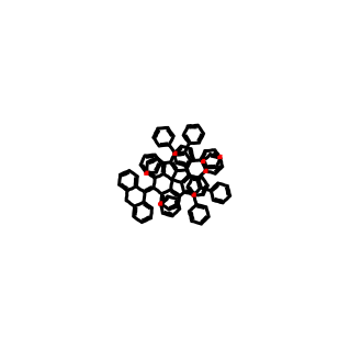 c1ccc(-c2c(-c3ccccc3)c(-c3ccccc3)c(C3(c4c(-c5ccccc5)c(-c5ccccc5)c(-c5ccccc5)c(-c5ccccc5)c4-c4ccccc4)c4ccccc4C(=C4c5ccccc5Cc5ccccc54)c4ccccc43)c(-c3ccccc3)c2-c2ccccc2)cc1